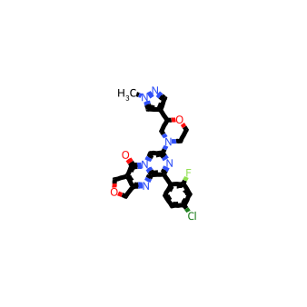 Cn1cc(C2CN(c3cn4c(=O)c5c(nc4c(-c4ccc(Cl)cc4F)n3)COC5)CCO2)cn1